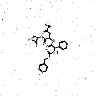 CNC(=O)CC(NC(=O)C(NC(=O)OCc1ccccc1)c1ccccc1)C(=O)NC1CNC1=O